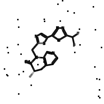 C[C@H]1Cc2ccncc2N(Cc2ncc(-c3nnc(C(F)F)o3)s2)C1=O